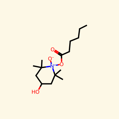 CCCCCC(=O)O[N+]1([O-])C(C)(C)CC(O)CC1(C)C